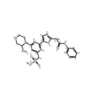 CC1COCCN1c1cc(CS(C)(=O)=O)nc(-c2cnc(NC(=O)Oc3ccccc3)s2)n1